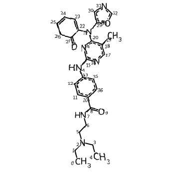 CCN(CC)CCNC(=O)c1ccc(Nc2ncc(C)c(N(C3=CC=CCC3=O)c3cnco3)n2)cc1